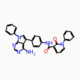 Nc1ncnc2c1c(-c1ccc(NC(=O)c3cccn(-c4ccccc4)c3=O)cc1)cn2-c1ccccc1